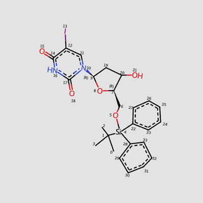 CC(C)(C)[Si](OC[C@H]1O[C@@H](n2cc(I)c(=O)[nH]c2=O)CC1O)(c1ccccc1)c1ccccc1